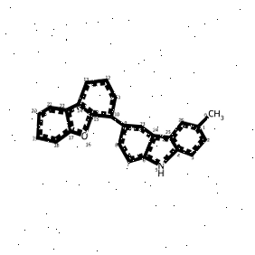 Cc1ccc2[nH]c3ccc(-c4cccc5c4oc4ccccc45)cc3c2c1